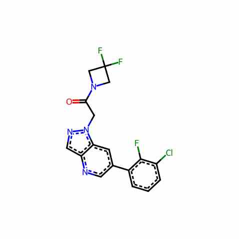 O=C(Cn1ncc2ncc(-c3cccc(Cl)c3F)cc21)N1CC(F)(F)C1